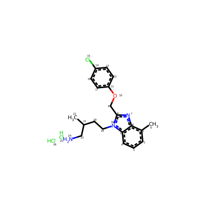 Cc1cccc2c1nc(COc1ccc(Cl)cc1)n2CCC(C)CN.Cl.Cl